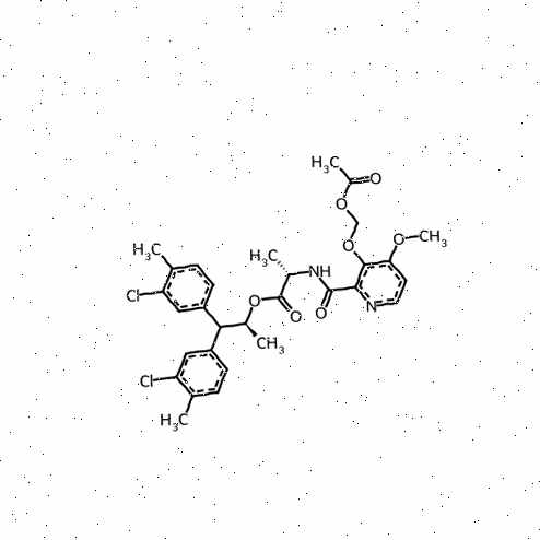 COc1ccnc(C(=O)N[C@@H](C)C(=O)O[C@@H](C)C(c2ccc(C)c(Cl)c2)c2ccc(C)c(Cl)c2)c1OCOC(C)=O